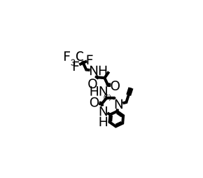 C#CCN1C[C@H](NC(=O)C(C)C(=O)NCC(F)(F)C(F)(F)F)C(=O)Nc2ccccc21